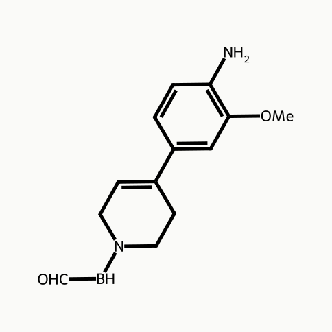 COc1cc(C2=CCN(BC=O)CC2)ccc1N